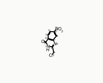 O=c1[nH]c(CCl)nc2cc([N+](=O)[O-])ccc12